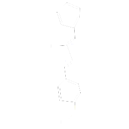 CSc1ccc(/C=C/C(C)=C/c2ccccc2)cc1